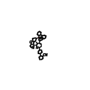 CC1=C(c2nccc3oc4ccc(-c5cc6ccccc6c6ccccc56)cc4c23)N=C(c2ccc(-c3ccccc3C#N)cc2)CC=C1c1ccccc1